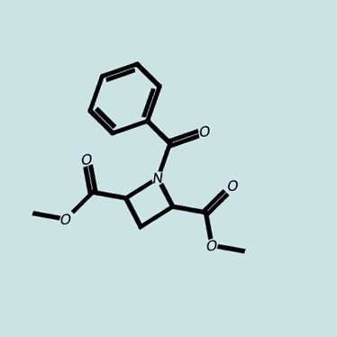 COC(=O)C1CC(C(=O)OC)N1C(=O)c1ccccc1